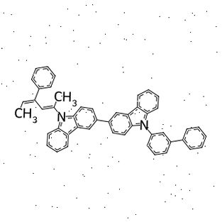 C/C=C(\C=C(/C)n1c2ccccc2c2cc(-c3ccc4c(c3)c3ccccc3n4-c3cccc(-c4ccccc4)c3)ccc21)c1ccccc1